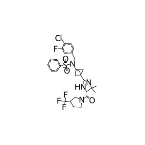 CC1(C)N=C(C23CC(N(Cc4ccc(Cl)c(F)c4)S(=O)(=O)c4ccccc4)(C2)C3)N[C@H]1C(=O)N1CC[C@@H](C(F)(F)F)C1